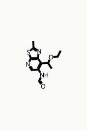 CCOC(C)c1c(NC=O)cnc2sc(C)nc12